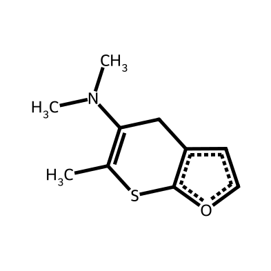 CC1=C(N(C)C)Cc2ccoc2S1